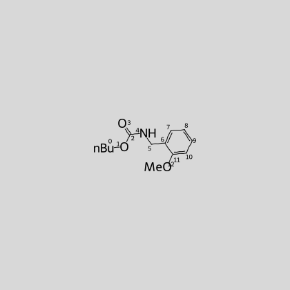 CCCCOC(=O)NCc1ccccc1OC